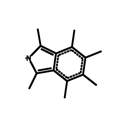 CC1=c2c(C)c(C)c(C)c(C)c2=C(C)[N]1